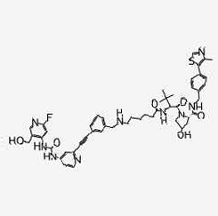 Cc1ncsc1-c1ccc(CNC(=O)[C@@H]2C[C@@H](O)CN2C(=O)[C@@H](NC(=O)CCCCCNCc2cccc(C#Cc3cc(NC(=O)Nc4cc(F)ncc4CO)ccn3)c2)C(C)(C)C)cc1